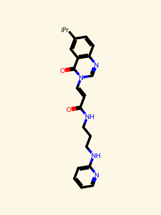 CC(C)c1ccc2ncn(C=CC(=O)NCCCNc3ccccn3)c(=O)c2c1